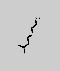 CCOC(=O)CCOCCN(C)C